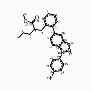 CCCC(Cc1ccccc1-c1ccc2c(cnn2-c2ccc(F)cc2)c1)C(=O)OC